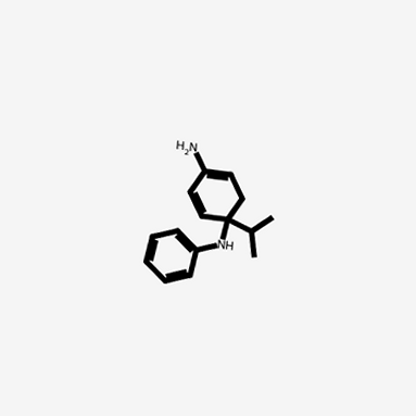 CC(C)C1(Nc2ccccc2)C=CC(N)=CC1